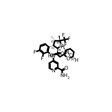 C[C@H]1[C@@H](c2ccc(F)c(F)c2OCCN2C[C@H]3CC[C@@H]2CO3)[C@H](C(=O)Nc2ccnc(C(N)=O)c2)O[C@@]1(C)C(F)(F)F